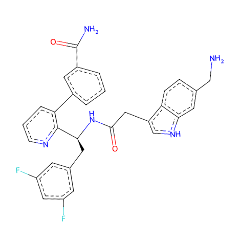 NCc1ccc2c(CC(=O)N[C@@H](Cc3cc(F)cc(F)c3)c3ncccc3-c3cccc(C(N)=O)c3)c[nH]c2c1